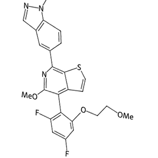 COCCOc1cc(F)cc(F)c1-c1c(OC)nc(-c2ccc3c(cnn3C)c2)c2sccc12